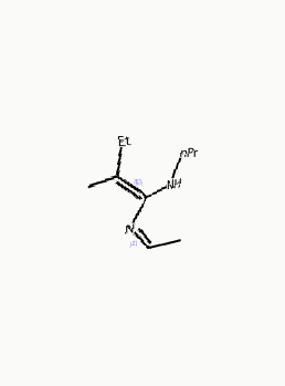 C/C=N\C(NCCC)=C(/C)CC